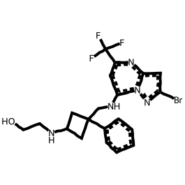 OCCNC1CC(CNc2cc(C(F)(F)F)nc3cc(Br)nn23)(c2ccccc2)C1